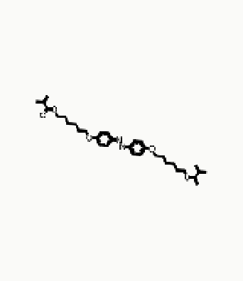 C=C(C)C(=C)OCCCCCCOc1ccc(/N=N/c2ccc(OCCCCCCOC(=O)C(=C)C)cc2)cc1